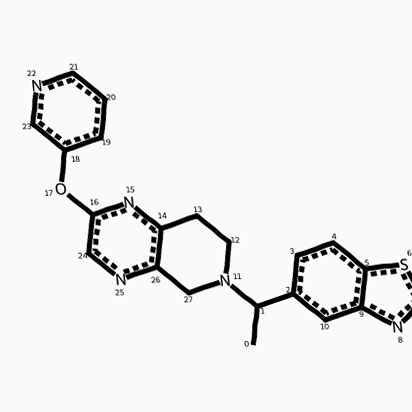 CC(c1ccc2scnc2c1)N1CCc2nc(Oc3cccnc3)cnc2C1